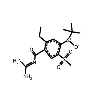 CCc1cc([S+]([O-])C(C)(C)C)c(S(C)(=O)=O)cc1C(=O)N=C(N)N